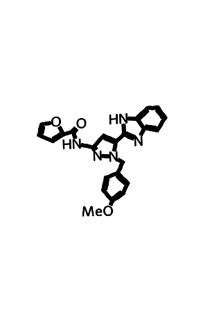 COc1ccc(Cn2nc(NC(=O)c3ccco3)cc2-c2nc3ccccc3[nH]2)cc1